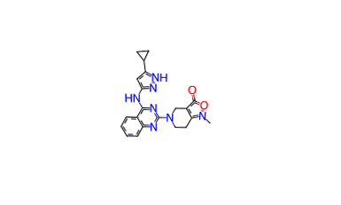 Cn1oc(=O)c2c1CCN(c1nc(Nc3cc(C4CC4)[nH]n3)c3ccccc3n1)C2